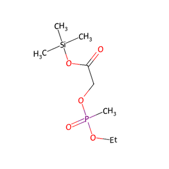 CCOP(C)(=O)OCC(=O)O[Si](C)(C)C